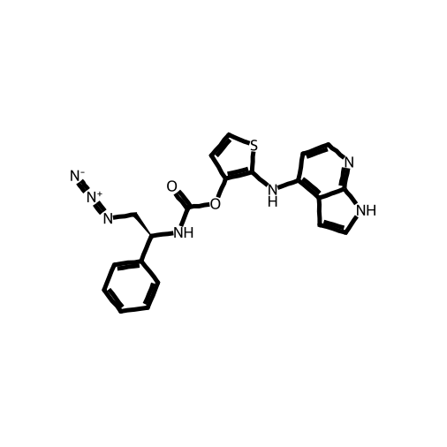 [N-]=[N+]=NC[C@@H](NC(=O)Oc1ccsc1Nc1ccnc2[nH]ccc12)c1ccccc1